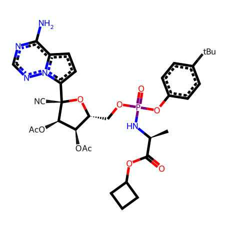 CC(=O)O[C@H]1[C@@H](OC(C)=O)[C@](C#N)(c2ccc3c(N)ncnn23)O[C@@H]1COP(=O)(N[C@@H](C)C(=O)OC1CCC1)Oc1ccc(C(C)(C)C)cc1